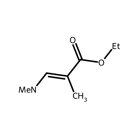 CCOC(=O)/C(C)=C/NC